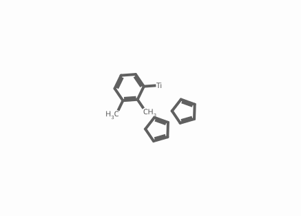 C1=CCC=C1.C1=CCC=C1.Cc1ccc[c]([Ti])c1C